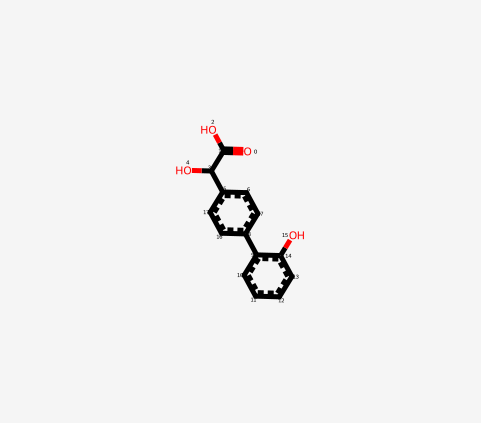 O=C(O)C(O)c1ccc(-c2ccccc2O)cc1